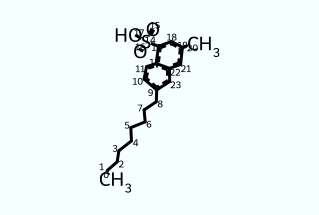 CCCCCCCCCc1ccc2c(S(=O)(=O)O)cc(C)cc2c1